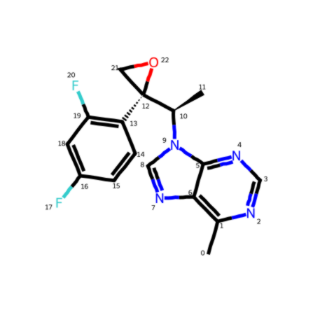 Cc1ncnc2c1ncn2[C@H](C)[C@@]1(c2ccc(F)cc2F)CO1